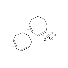 C1=C\CCCC\C=C/1.C1=C\CCCC\C=C/1.C=O.[Co]